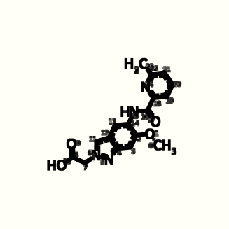 COc1cc2nn(CC(=O)O)cc2cc1NC(=O)c1cccc(C)n1